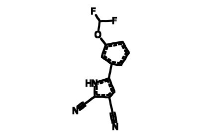 N#Cc1cc(-c2cccc(OC(F)F)c2)[nH]c1C#N